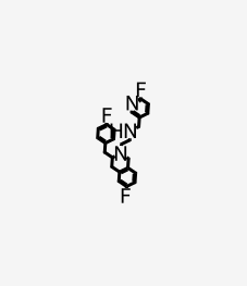 Fc1ccc(CC2Cc3cc(F)ccc3CN2CCNCc2ccc(F)nc2)cc1